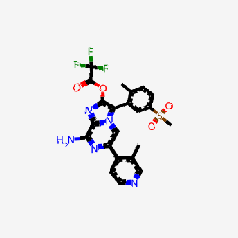 Cc1cnccc1-c1cn2c(-c3cc(S(C)(=O)=O)ccc3C)c(OC(=O)C(F)(F)F)nc2c(N)n1